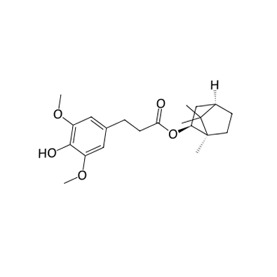 COc1cc(CCC(=O)O[C@H]2C[C@H]3CC[C@]2(C)C3(C)C)cc(OC)c1O